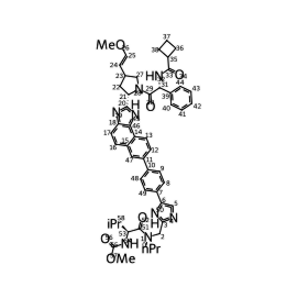 CCCN(Cc1ncc(-c2ccc(-c3ccc4c(ccc5nc([C@@H]6CC(/C=C/OC)CN6C(=O)[C@H](NC(=O)C6CCC6)c6ccccc6)[nH]c54)c3)cc2)[nH]1)C(=O)[C@@H](NC(=O)OC)C(C)C